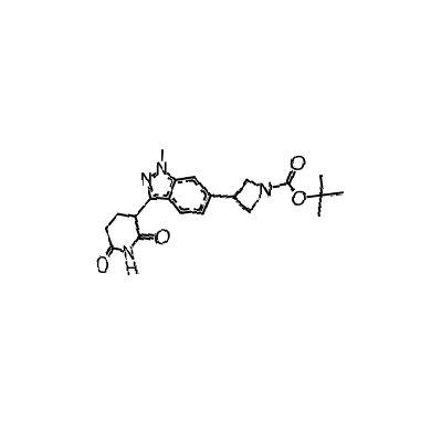 Cn1nc(C2CCC(=O)NC2=O)c2ccc(C3CN(C(=O)OC(C)(C)C)C3)cc21